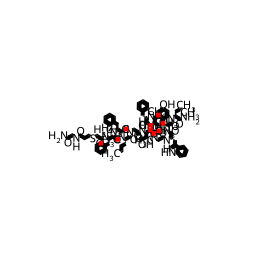 CCCC[C@@H](C(=O)N(C)CC(=O)NC(CC(=O)O)C(=O)NC(C(=O)N(C)[C@@H](Cc1ccccc1)C(=O)NCC(=O)N(C)CC(=O)N[C@@H](Cc1c[nH]c2ccccc12)C(=O)N[C@@H](Cc1ccc(O)cc1)C(=O)N[C@@H](CC(C)C)C(N)=O)C(C)C)N(C)C(=O)[C@H](Cc1ccccc1)N(C)C(=O)[C@H](Cc1ccccc1)NC(=O)CSCCC(=O)NCC(N)=O